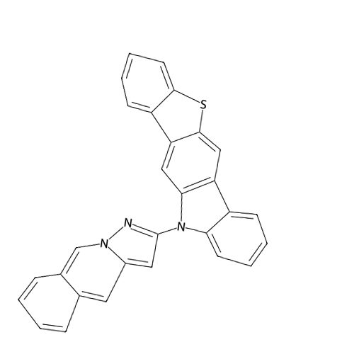 c1ccc2cn3nc(-n4c5ccccc5c5cc6sc7ccccc7c6cc54)cc3cc2c1